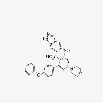 O=C(O)c1c(Nc2ccc3[nH]ncc3c2)nc(N2CCOCC2)nc1-c1ccc(Oc2ccccc2)cc1